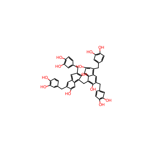 Oc1cc(Cc2ccc(O)c(O)c2)c2cc(Cc3ccc(O)c(O)c3)c(O)c(Cc3c(O)c(Cc4ccc(O)c(O)c4)cc4cc(Cc5ccc(O)c(O)c5)c(O)cc34)c2c1